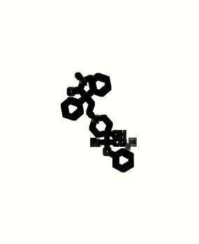 CCC(Oc1ccccc1)(C(=O)O)C1(O)CCN(CCC(C(=O)N(C)C)(c2ccccc2)c2ccccc2)CC1